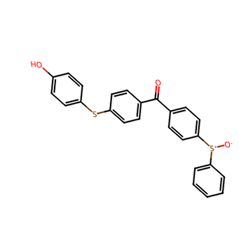 O=C(c1ccc(Sc2ccc(O)cc2)cc1)c1ccc([S+]([O-])c2ccccc2)cc1